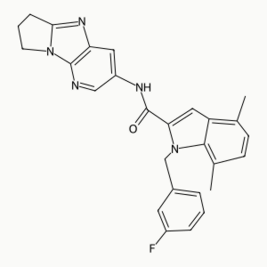 Cc1ccc(C)c2c1cc(C(=O)Nc1cnc3c(c1)nc1n3CCC1)n2Cc1cccc(F)c1